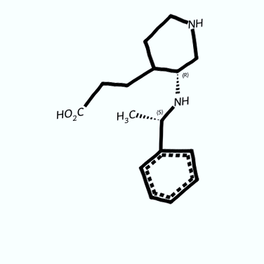 C[C@H](N[C@H]1CNCCC1CCC(=O)O)c1ccccc1